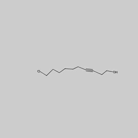 OCCC#CCCCCCCCl